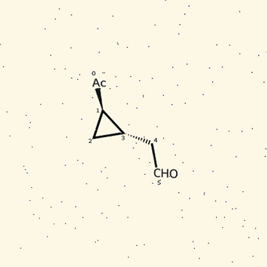 CC(=O)[C@@H]1C[C@H]1CC=O